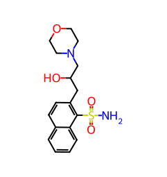 NS(=O)(=O)c1c(CC(O)CN2CCOCC2)ccc2ccccc12